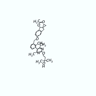 CC(=O)OC1c2ccc(OCc3cccc(-c4c(C)nc(OCCC(C)(C)O)nc4C)c3C)cc2CC12CC2